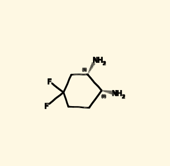 N[C@@H]1CCC(F)(F)C[C@@H]1N